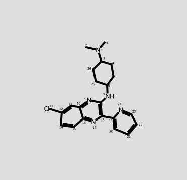 CN(C)C1CCC(Nc2nc3cc(Cl)ccc3nc2-c2ccccn2)CC1